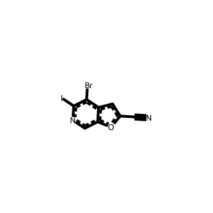 N#Cc1cc2c(Br)c(I)ncc2o1